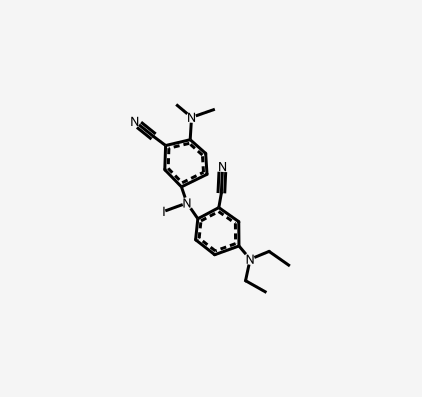 CCN(CC)c1ccc(N(I)c2ccc(N(C)C)c(C#N)c2)c(C#N)c1